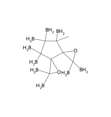 BC1(B)OC12C(B)(B)C(B)(B)C(B)(C)C21OC1(B)B